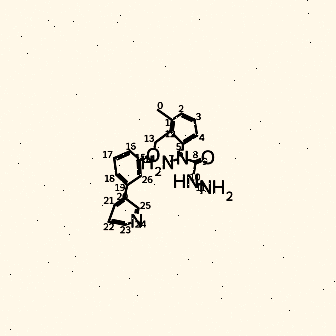 Cc1cccc(N(N)C(=O)NN)c1COc1cccc(-c2cccnc2)c1